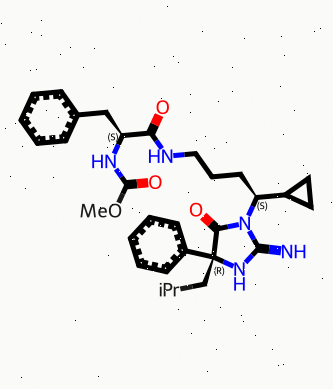 COC(=O)N[C@@H](Cc1ccccc1)C(=O)NCCC[C@@H](C1CC1)N1C(=N)N[C@](CC(C)C)(c2ccccc2)C1=O